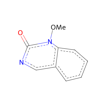 COn1c(=O)ncc2ccccc21